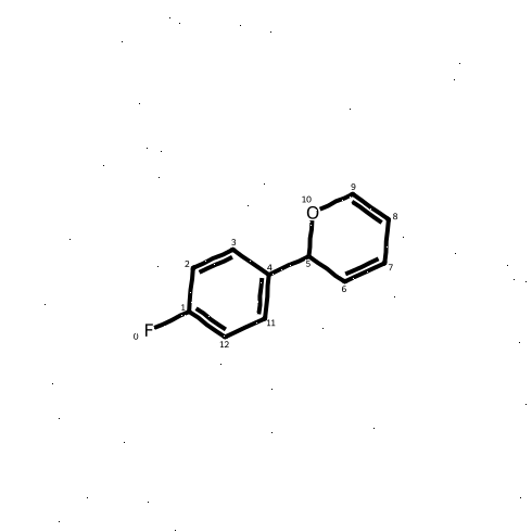 Fc1ccc(C2C=CC=CO2)cc1